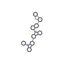 c1ccc(-n2c3ccccc3c3ccc(-c4ccc5c(c4)c4ccccc4n5-c4cccc5cc(-c6cccc7c6Cc6ccccc6-7)ccc45)cc32)cc1